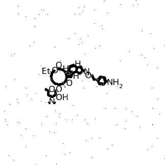 CC[C@H]1CCC[C@H](OC2OC(C)CC(N(C)C)C2O)[C@@H](C)C(=O)C2=C[C@@H]3[C@@H](C=C[C@@H]4C/C(=N/OCCc5ccc(N)cc5)C[C@@H]34)[C@@H]2CC(=O)O1